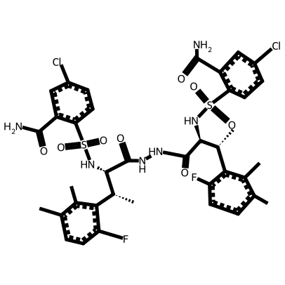 Cc1ccc(F)c([C@@H](C)[C@H](NS(=O)(=O)c2ccc(Cl)cc2C(N)=O)C(=O)NNC(=O)[C@@H](NS(=O)(=O)c2ccc(Cl)cc2C(N)=O)[C@H](C)c2c(F)ccc(C)c2C)c1C